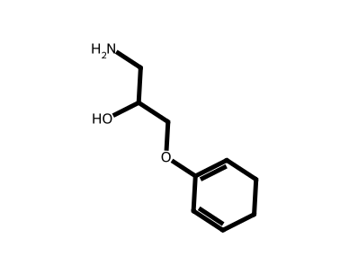 NCC(O)COC1=CCCC=C1